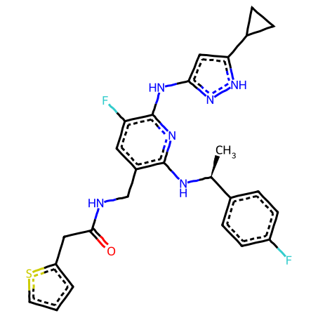 C[C@H](Nc1nc(Nc2cc(C3CC3)[nH]n2)c(F)cc1CNC(=O)Cc1cccs1)c1ccc(F)cc1